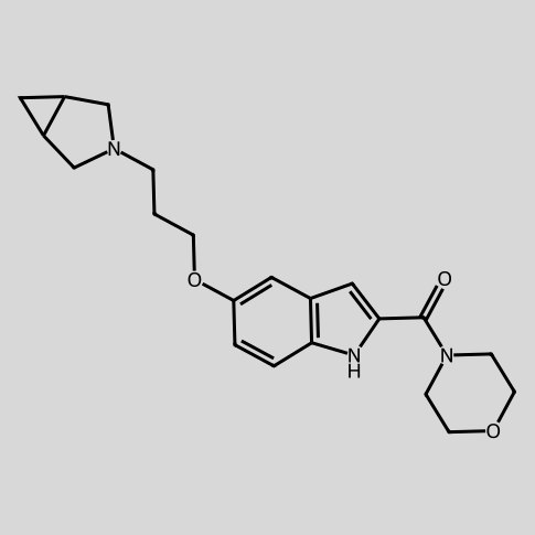 O=C(c1cc2cc(OCCCN3CC4CC4C3)ccc2[nH]1)N1CCOCC1